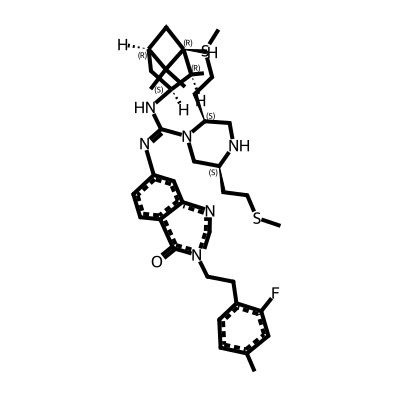 CSCC[C@H]1CN(C(=Nc2ccc3c(=O)n(CCc4ccc(C)cc4F)cnc3c2)N[C@H]2C[C@H]3C[C@H]([C@H]2C)C3(C)C)[C@@H](CCSC)CN1